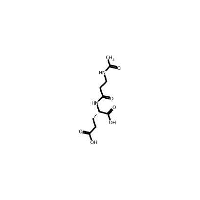 CC(=O)NCCC(=O)N[C@@H](CCC(=O)O)C(=O)O